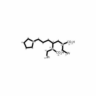 CC(C)CN(CC(CCCN1CCCC1)N(CC(C)C)C(=O)O)C(=O)O